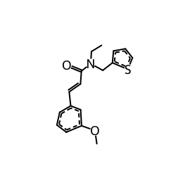 CCN(Cc1cccs1)C(=O)/C=C/c1cccc(OC)c1